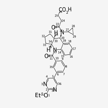 CCOc1ncc(-c2cccc(C(=O)N3c4ccccc4[C@H](N(C(=O)CCC(=O)O)C4CC4)[C@H]4CCC[C@H]43)c2)cn1